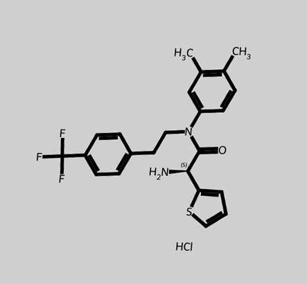 Cc1ccc(N(CCc2ccc(C(F)(F)F)cc2)C(=O)[C@H](N)c2cccs2)cc1C.Cl